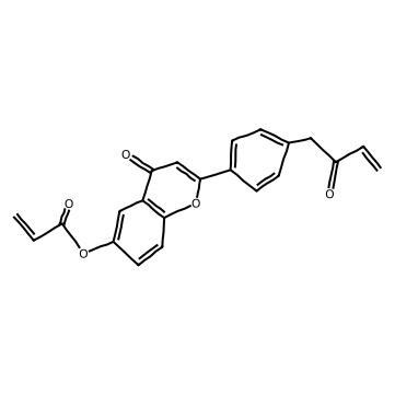 C=CC(=O)Cc1ccc(-c2cc(=O)c3cc(OC(=O)C=C)ccc3o2)cc1